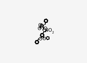 O=C(C[C@@H](C[N+](=O)[O-])c1ccc(OCc2ccccc2)c(OC2CCCC2)c1)N1C(=O)OC[C@H]1Cc1ccccc1